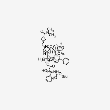 CC(=O)O[C@@]12CO[C@@H]1CC[C@@]1(C)[C@@H]3O[C@H](CN4CC(C(=O)N(C)C)C4)O[C@@H]3C3=C(C)[C@@H](OC(=O)[C@H](O)[C@@H](NC(=O)OC(C)(C)C)c4ccccn4)C[C@@](O)([C@@H](OC(=O)c4ccccc4)[C@@H]12)C3(C)C